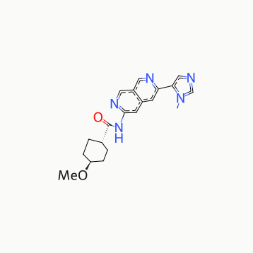 CO[C@H]1CC[C@H](C(=O)Nc2cc3cc(-c4cncn4C)ncc3cn2)CC1